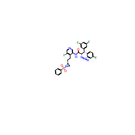 [N-]=[N+]=N[C@H](C(=O)Nc1cncc(F)c1CC[C@H]1CN1S(=O)(=O)c1ccccc1)[C@@H](c1ccc(F)cc1)c1cc(F)cc(F)c1